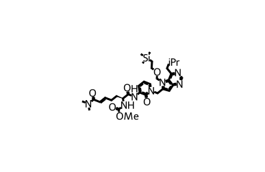 COC(=O)N[C@@H](CC/C=C/C(=O)N(C)C)C(=O)Nc1cccn(Cc2cc3ncnc(CC(C)C)c3n2COCC[Si](C)(C)C)c1=O